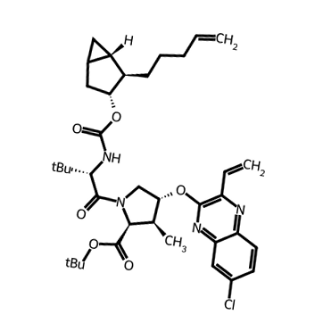 C=CCCC[C@H]1[C@H](OC(=O)N[C@H](C(=O)N2C[C@H](Oc3nc4cc(Cl)ccc4nc3C=C)[C@@H](C)[C@H]2C(=O)OC(C)(C)C)C(C)(C)C)CC2C[C@@H]21